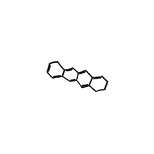 C1=CCc2cc3cc4c(cc3cc2=C1)CCCC=4